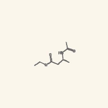 CCOC(=O)CC(C)NC(C)=O